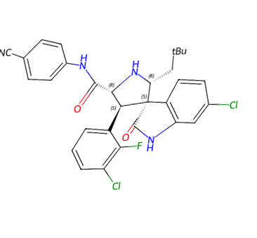 CC(C)(C)C[C@H]1N[C@@H](C(=O)Nc2ccc(C#N)cc2)[C@H](c2cccc(Cl)c2F)[C@@]12C(=O)Nc1cc(Cl)ccc12